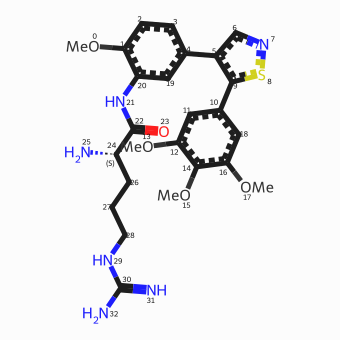 COc1ccc(-c2cnsc2-c2cc(OC)c(OC)c(OC)c2)cc1NC(=O)[C@@H](N)CCCNC(=N)N